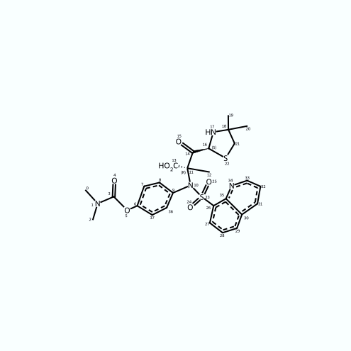 CN(C)C(=O)Oc1ccc(N([C@@](C)(C(=O)O)C(=O)[C@H]2NC(C)(C)CS2)S(=O)(=O)c2cccc3cccnc23)cc1